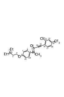 CCN(CC)CCOc1ccc(N(C)C(=O)C#Cc2ccc(C(F)(F)F)cc2Cl)cc1